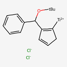 CC(C)(C)OC(C1=[C]([Ti+2])CC=C1)c1ccccc1.[Cl-].[Cl-]